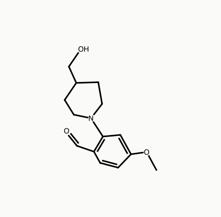 COc1ccc(C=O)c(N2CCC(CO)CC2)c1